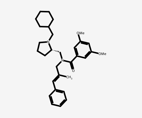 COc1cc(OC)cc(C(=O)N(C/C(C)=C/c2ccccc2)C[C@@H]2CCCN2CC2CCCCC2)c1